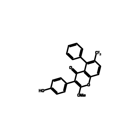 COc1oc2ccc(C(F)(F)F)c(-c3ccccc3)c2c(=O)c1-c1ccc(O)cc1